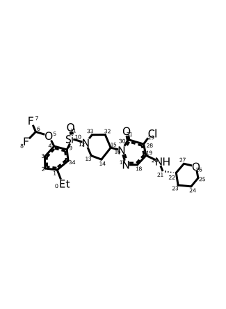 CCc1ccc(OC(F)F)c([Si](=O)N2CCC(n3ncc(NC[C@H]4CCCOC4)c(Cl)c3=O)CC2)c1